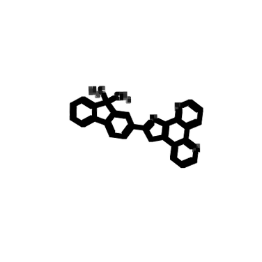 CC1(C)c2ccccc2-c2ccc(C3=Nc4c(c5cccnc5c5cccnc45)C3)cc21